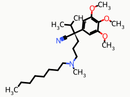 CCCCCCCCN(C)CCC[C@](C#N)(c1cc(OC)c(OC)c(OC)c1)C(C)C